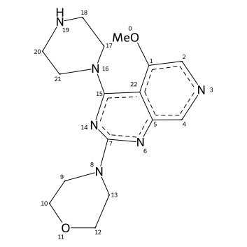 COc1cncc2nc(N3CCOCC3)nc(N3CCNCC3)c12